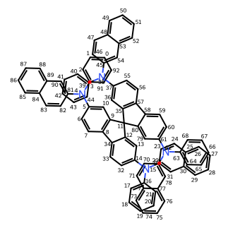 c1ccc(N(c2ccc3c(c2)C2(c4cc(N(c5ccccc5)c5ccc6ccccc6c5)ccc4-3)c3cc(N(c4ccccc4)c4ccc5ccccc5c4)ccc3-c3ccc(N(c4ccccc4)c4ccc5ccccc5c4)cc32)c2ccc3ccccc3c2)cc1